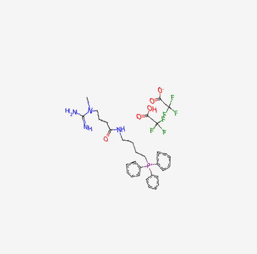 CN(CCCC(=O)NCCCC[P+](c1ccccc1)(c1ccccc1)c1ccccc1)C(=N)N.O=C(O)C(F)(F)F.O=C([O-])C(F)(F)F